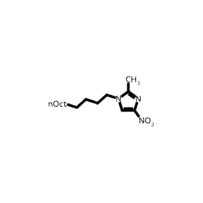 CCCCCCCCCCCCn1cc([N+](=O)[O-])nc1C